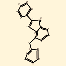 c1ccc(Cc2cccc3[nH]c(-c4ccccc4)nc23)cc1